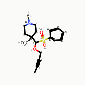 CC#CCOC(C1(C(=O)O)CCN(C(C)=O)CC1)S(=O)(=O)c1ccccc1